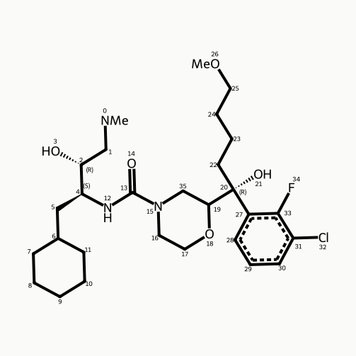 CNC[C@@H](O)[C@H](CC1CCCCC1)NC(=O)N1CCOC([C@@](O)(CCCCOC)c2cccc(Cl)c2F)C1